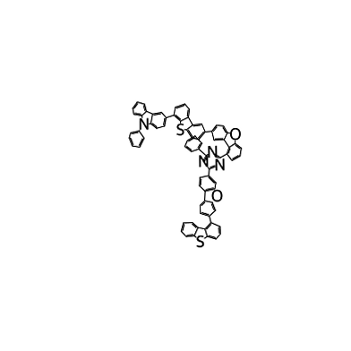 c1ccc(-c2nc(-c3ccc4c(c3)oc3cc(-c5cccc6sc7ccccc7c56)ccc34)nc(-c3cccc4oc5ccc(-c6ccc7sc8c(-c9ccc%10c(c9)c9ccccc9n%10-c9ccccc9)cccc8c7c6)cc5c34)n2)cc1